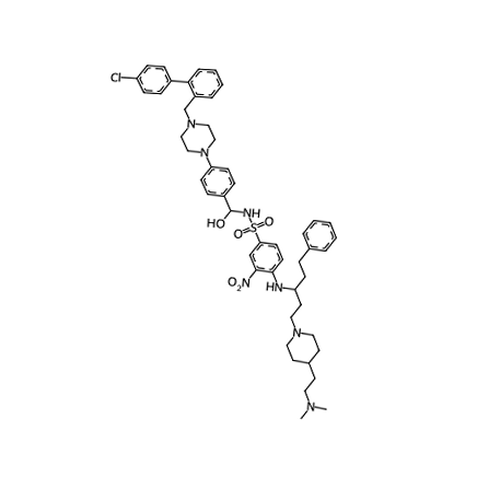 CN(C)CCC1CCN(CCC(CCc2ccccc2)Nc2ccc(S(=O)(=O)NC(O)c3ccc(N4CCN(Cc5ccccc5-c5ccc(Cl)cc5)CC4)cc3)cc2[N+](=O)[O-])CC1